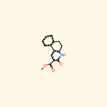 COC(=O)c1cc2c([nH]c1=O)CCc1ccccc1-2